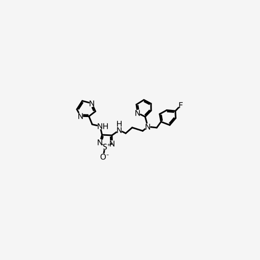 [O-][s+]1nc(NCCCN(Cc2ccc(F)cc2)c2ccccn2)c(NCc2cnccn2)n1